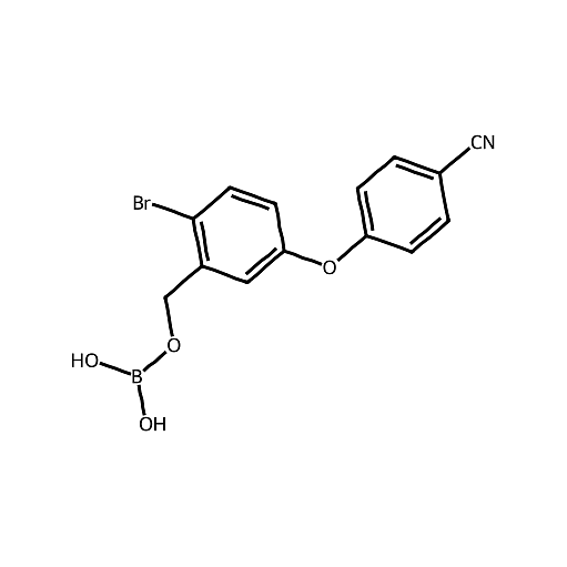 N#Cc1ccc(Oc2ccc(Br)c(COB(O)O)c2)cc1